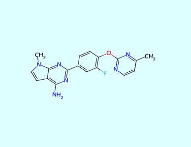 Cc1ccnc(Oc2ccc(-c3nc(N)c4ccn(C)c4n3)cc2F)n1